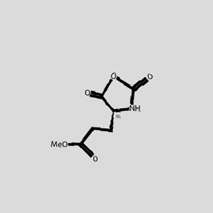 COC(=O)CC[C@@H]1NC(=O)OC1=O